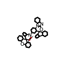 c1ccc2c(c1)Oc1ccccc1C21c2ccccc2N(c2ccc3c(c2)C2(Oc4nc5ccccc5n4-3)c3ccccc3-c3ccccc32)c2ccccc21